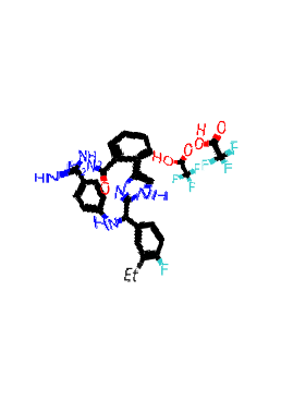 CCc1cc(C(Nc2ccc(C(=N)N)cc2)c2nc(-c3ccccc3C(N)=O)c[nH]2)ccc1F.O=C(O)C(F)(F)F.O=C(O)C(F)(F)F